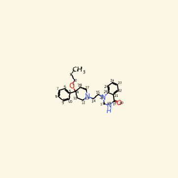 CCCOC1(c2ccccc2)CCN(CCN2CNC(=O)c3ccccc32)CC1